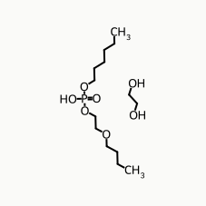 CCCCCCOP(=O)(O)OCCOCCCC.OCCO